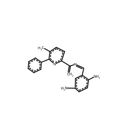 C=C(/N=C\c1cc(N)ccc1N)c1ccc(C)c(-c2ccccc2)n1